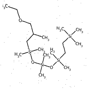 CCOCC(C)C[Si](C)(C)O[Si](C)(C)O[Si](C)(C)CC[Si](C)(C)C